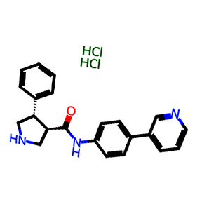 Cl.Cl.O=C(Nc1ccc(-c2cccnc2)cc1)[C@H]1CNC[C@@H]1c1ccccc1